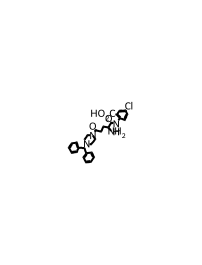 NC(CCC(=O)N1CCN(C(c2ccccc2)c2ccccc2)CC1)C(=O)Nc1ccc(Cl)cc1C(=O)O